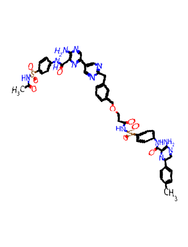 CC(=O)NS(=O)(=O)c1ccc(NC(=O)c2nc(-c3cnc(Cc4cccc(COCCC(=O)NS(=O)(=O)c5ccc(NC(=O)c6nc(-c7ccc(C)cc7)cnc6N)cc5)c4)nc3)cnc2N)cc1